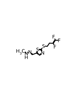 CN/N=C/c1cnc(SCCC(F)=C(F)F)s1